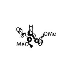 COCCCN1CCOc2ccc(CO[C@H]3CNC[C@@H](OCC(=O)N4CCOCC4)[C@@H]3c3ccc(C(OC)C4CC4)cc3)cc21